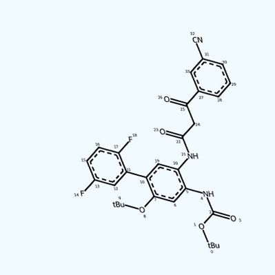 CC(C)(C)OC(=O)Nc1cc(OC(C)(C)C)c(-c2cc(F)ccc2F)cc1NC(=O)CC(=O)c1cccc(C#N)c1